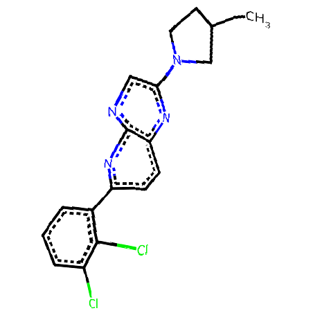 CC1CCN(c2cnc3nc(-c4cccc(Cl)c4Cl)ccc3n2)C1